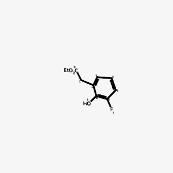 CCOC(=O)Cc1cccc(F)c1O